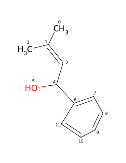 CC(C)=CC(O)c1ccccc1